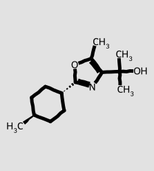 Cc1oc([C@H]2CC[C@H](C)CC2)nc1C(C)(C)O